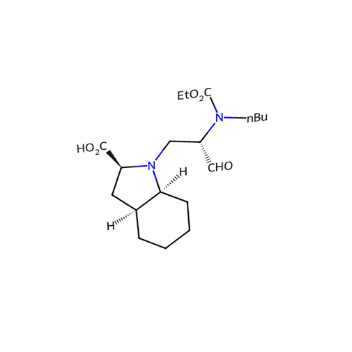 CCCCN(C(=O)OCC)[C@H](C=O)CN1[C@H](C(=O)O)C[C@@H]2CCCC[C@@H]21